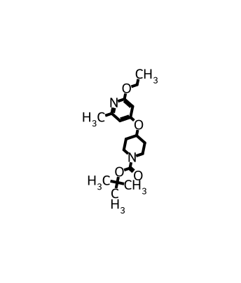 CCOc1cc(OC2CCN(C(=O)OC(C)(C)C)CC2)cc(C)n1